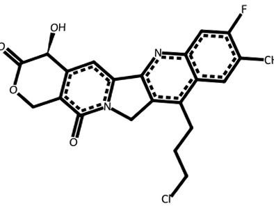 Cc1cc2c(CCCCl)c3c(nc2cc1F)-c1cc2c(c(=O)n1C3)COC(=O)[C@H]2O